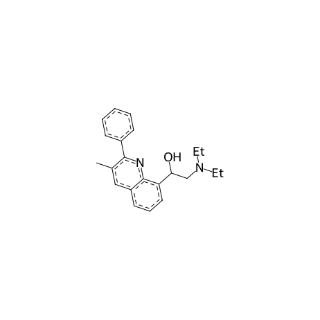 CCN(CC)CC(O)c1cccc2cc(C)c(-c3ccccc3)nc12